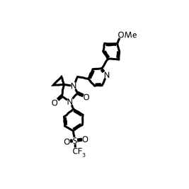 COc1ccc(-c2cc(CN3C(=O)N(c4ccc(S(=O)(=O)C(F)(F)F)cc4)C(=O)C34CC4)ccn2)cc1